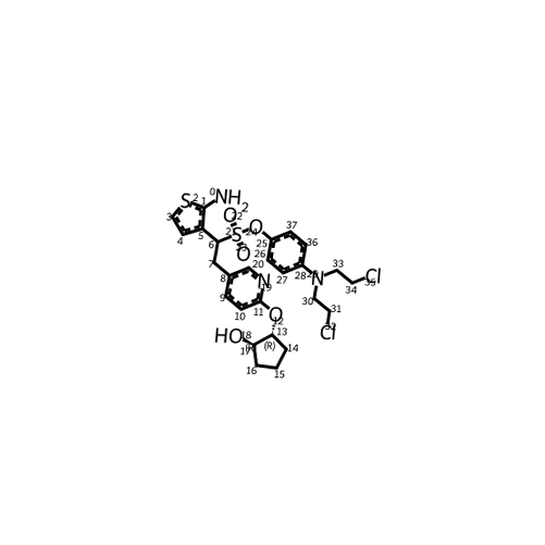 Nc1sccc1C(Cc1ccc(O[C@@H]2CCC[C@H]2O)nc1)S(=O)(=O)Oc1ccc(N(CCCl)CCCl)cc1